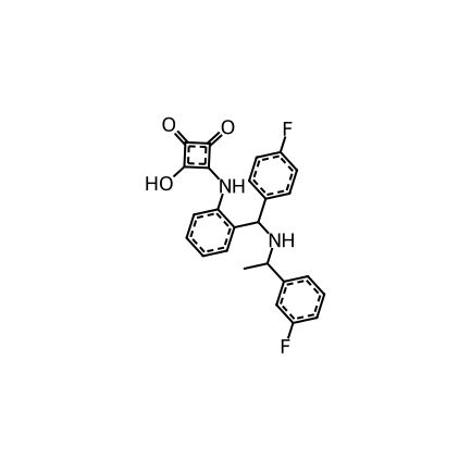 CC(NC(c1ccc(F)cc1)c1ccccc1Nc1c(O)c(=O)c1=O)c1cccc(F)c1